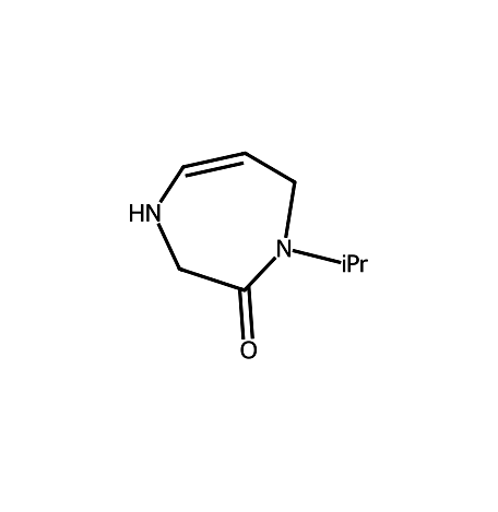 CC(C)N1CC=CNCC1=O